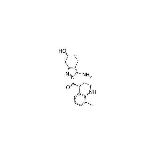 Cc1cccc2c1NCC[C@@H]2C(=O)n1nc2c(c1N)CC[C@H](O)C2